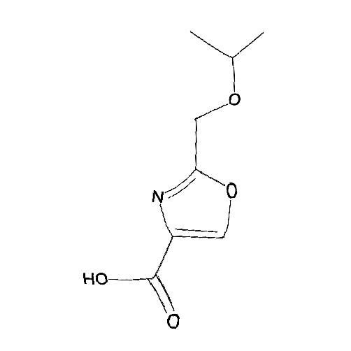 CC(C)OCc1nc(C(=O)O)co1